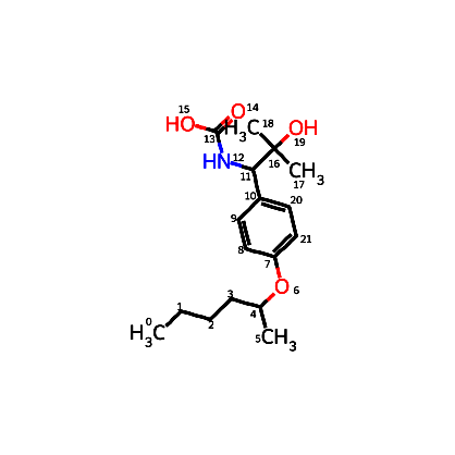 CCCCC(C)Oc1ccc(C(NC(=O)O)C(C)(C)O)cc1